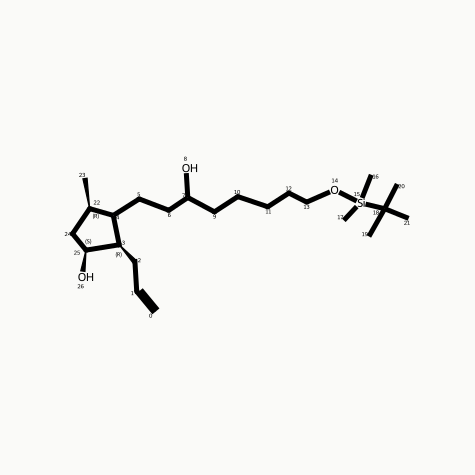 C=CC[C@@H]1C(CCC(O)CCCCCO[Si](C)(C)C(C)(C)C)[C@H](C)C[C@@H]1O